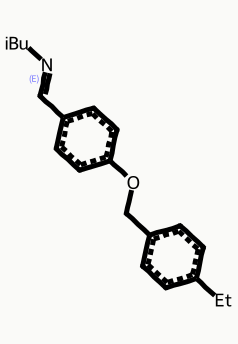 CCc1ccc(COc2ccc(/C=N/C(C)CC)cc2)cc1